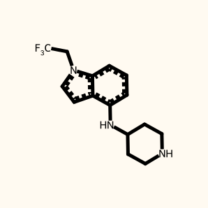 FC(F)(F)Cn1ccc2c(NC3CCNCC3)cccc21